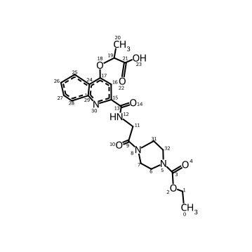 CCOC(=O)N1CCN(C(=O)CNC(=O)c2cc(OC(C)C(=O)O)c3ccccc3n2)CC1